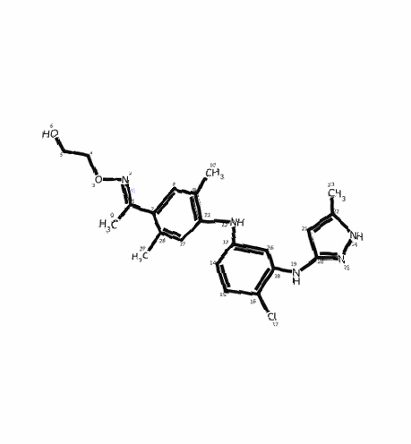 C/C(=N\OCCO)c1cc(C)c(Nc2ccc(Cl)c(Nc3cc(C)[nH]n3)c2)cc1C